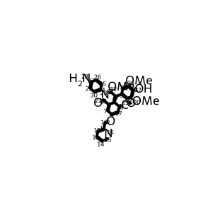 COc1cc(C2=c3c(cc(OCc4ccccn4)cc3=C=O)C(=O)N(c3ccc(N)cc3)C2OC)cc(OC)c1O